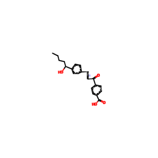 CCCCC(O)c1ccc(/C=C/C(=O)c2ccc(C(=O)O)cc2)cc1